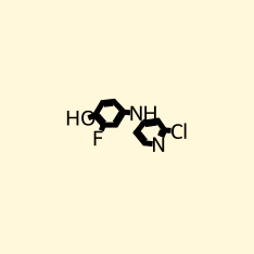 Oc1ccc(Nc2ccnc(Cl)c2)cc1F